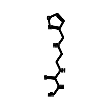 CCCNC(=S)NCCNCc1ccon1